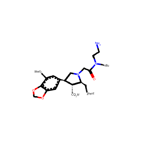 CCCCN(CCN)C(=O)CN1C[C@H](c2cc(OC)c3c(c2)OCO3)[C@@H](C(=O)O)[C@@H]1CC(C)CCC